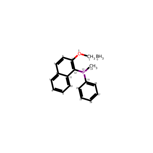 B.COc1ccc2ccccc2c1P(C)c1ccccc1